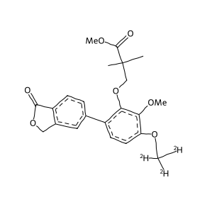 [2H]C([2H])([2H])Oc1ccc(-c2ccc3c(c2)COC3=O)c(OCC(C)(C)C(=O)OC)c1OC